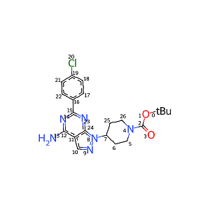 CC(C)(C)OC(=O)N1CCC(n2ncc3c(N)nc(-c4ccc(Cl)cc4)nc32)CC1